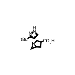 CC(C)(C)c1cc[nH]n1.O=C(O)C1CC2CN2C1